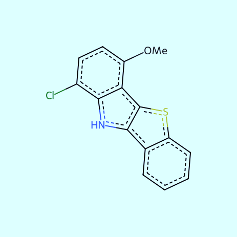 COc1ccc(Cl)c2[nH]c3c4ccccc4sc3c12